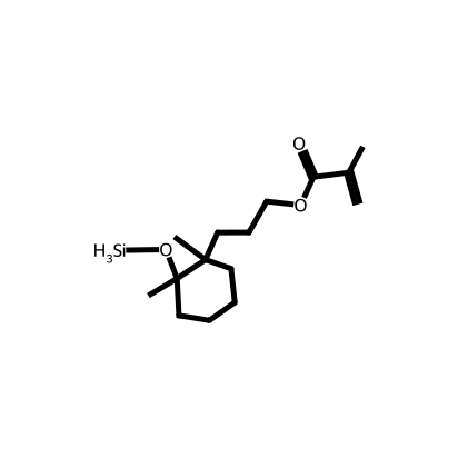 C=C(C)C(=O)OCCCC1(C)CCCCC1(C)O[SiH3]